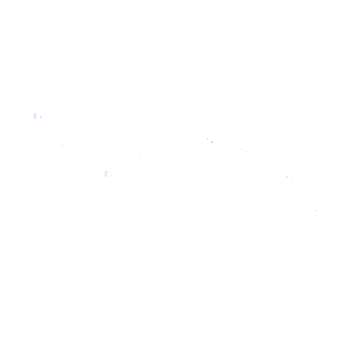 CC1CN(CC(=O)Nc2nc3cc4nc(NC(=O)CN5CC(C)NCC5C)sc4cc3s2)C(C)CN1.Cl.Cl.Cl.Cl